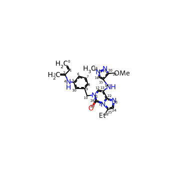 C=CC(=C)Nc1cccc(Cn2cc(Nc3cn(C)nc3OC)c3ncc(CC)n3c2=O)c1